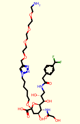 NCCOCCOCCOCCOCc1cn(CCCCCCO[C@]2(C(=O)O)C[C@H](O)[C@@H](NC(=O)CO)[C@H]([C@H](O)[C@H](O)CNC(=O)Cc3ccc(C(F)F)cc3)O2)nn1